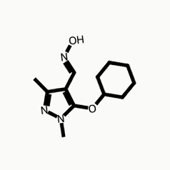 Cc1nn(C)c(OC2CCCCC2)c1C=NO